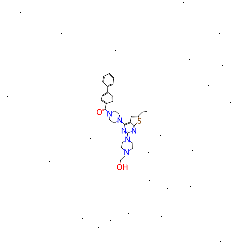 CCc1cc2c(N3CCN(C(=O)c4ccc(-c5ccccc5)cc4)CC3)nc(N3CCN(CCO)CC3)nc2s1